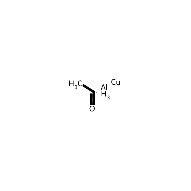 C[C]=O.[AlH3].[Cu]